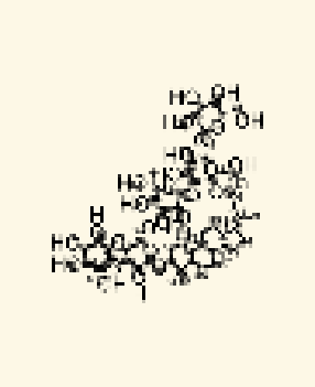 C[C@H](CC[C@@H](O[C@@H]1O[C@H](CO[C@@H]2O[C@H](CO)[C@@H](O)[C@H](O)[C@H]2O)[C@@H](O)[C@H](O)[C@H]1O[C@H]1O[C@@H](CO)[C@H](O)[C@@H](O)[C@@H]1O)C(C)(C)O)C1CC[C@@]2(C)C3CC=C4C(CC[C@H](O[C@@H]5O[C@H](CO)[C@@H](O[C@@H]6C[C@H](CO)[C@@H](O)[C@H](O)[C@H]6O)[C@H](O)[C@H]5O)C4(C)C)[C@]3(C)CC[C@]12C